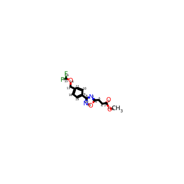 COC(=O)CCc1nc(-c2ccc(COC(F)F)cc2)no1